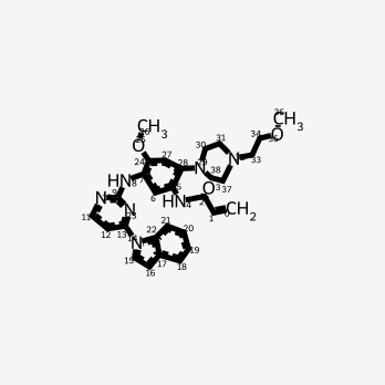 C=CC(=O)Nc1cc(Nc2nccc(-n3ccc4ccccc43)n2)c(OC)cc1N1CCN(CCOC)CC1